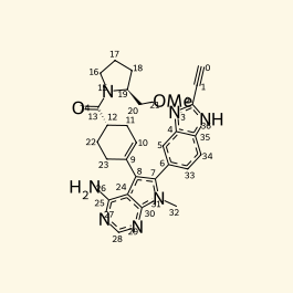 C#Cc1nc2cc(-c3c(C4=CC[C@@H](C(=O)N5CCC[C@H]5COC)CC4)c4c(N)ncnc4n3C)ccc2[nH]1